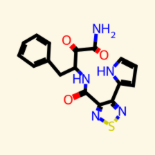 NC(=O)C(=O)C(Cc1ccccc1)NC(=O)c1nsnc1-c1ccc[nH]1